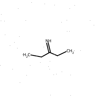 [CH2]CC(=N)C[CH2]